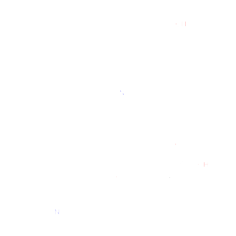 O=C(O)C(F)(F)F.Oc1ccc2c(c1)CCN(Cc1ccccc1)C2Cc1ccc(OCCC2CCCCN2)cc1